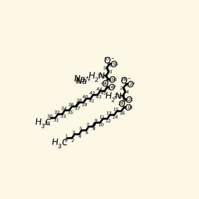 CCCCCCCCC=CCCCCCCCC(=O)OC(=O)[C@@H](N)CCC(=O)[O-].CCCCCCCCC=CCCCCCCCC(=O)OC(=O)[C@@H](N)CCC(=O)[O-].[Na+].[Na+]